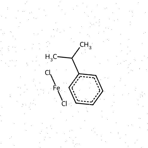 CC(C)c1ccccc1.[Cl][Fe][Cl]